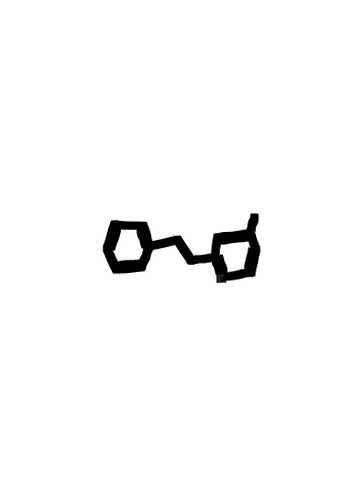 Cc1ccnc(CCc2ccccc2)c1